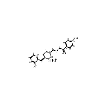 Cl.O=C(CCCN1CCC(=Cc2ccccc2F)CC1)c1ccc(F)cc1